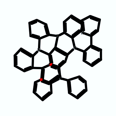 c1ccc(N(c2ccccc2)c2cc3c4c(c2)N(c2ccccc2-c2ccccn2)c2ccccc2B4c2ccccc2N3c2ccccc2-c2ccccn2)cc1